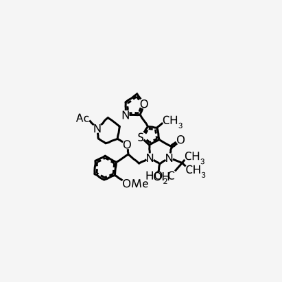 COc1ccccc1C(CN1c2sc(-c3ncco3)c(C)c2C(=O)N(C(C)(C)C(=O)O)C1O)OC1CCN(C(C)=O)CC1